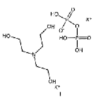 O=P([O-])(O)OP(=O)(O)O.OCCN(CCO)CCO.[I-].[K+].[K+]